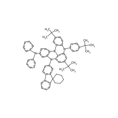 CC(C)(C)c1ccc(N2c3ccc(C(C)(C)C)cc3B3c4ccc(N(c5ccccc5)c5ccccc5)cc4N(c4ccc5c(c4)C4(CCCCC4)c4ccccc4-5)c4cc(C(C)(C)C)cc2c43)cc1